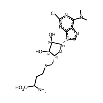 CN(C)c1nc(Cl)nc2c1ncn2[C@@H]1O[C@H](CSCCC(N)C(=O)O)[C@@H](O)[C@H]1O